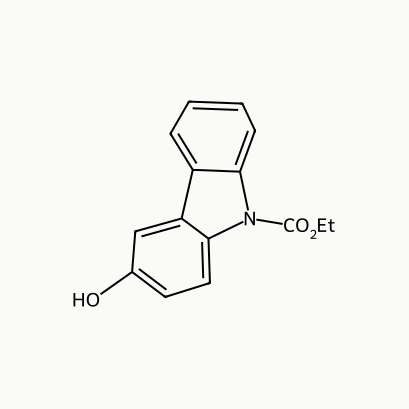 CCOC(=O)n1c2ccccc2c2cc(O)ccc21